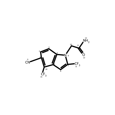 [C-]#[N+]c1ccc2c(cc(C(F)(F)F)n2CC(N)=O)c1C(F)(F)F